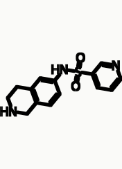 O=S(=O)(Nc1ccc2c(c1)CCNC2)c1cccnc1